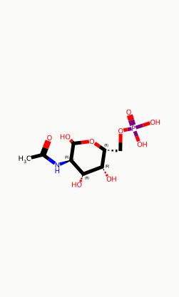 CC(=O)N[C@H]1C(O)O[C@H](COP(=O)(O)O)[C@H](O)[C@@H]1O